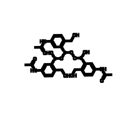 CC(=O)Nc1ccc(CO)c(B(O)OOB(OB(O)c2cc(NC(C)=O)ccc2CO)c2cc(NC(C)=O)ccc2CO)c1